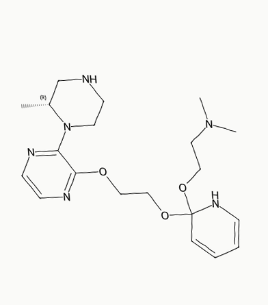 C[C@@H]1CNCCN1c1nccnc1OCCOC1(OCCN(C)C)C=CC=CN1